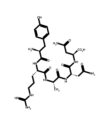 C[C@H](NC(=O)[C@H](CCCNC(=N)N)NC(=O)[C@@H](N)Cc1ccc(O)cc1)C(=O)N[C@@H](CC(N)=O)C(=O)N[C@@H](CC(N)=O)C(=O)O